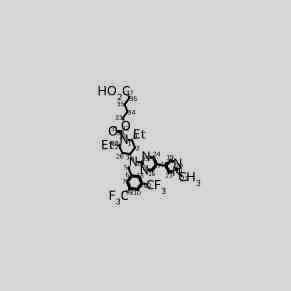 CC[C@@H]1C[C@H](N(Cc2cc(C(F)(F)F)cc(C(F)(F)F)c2)c2ncc(-c3cnn(C)c3)cn2)C[C@H](CC)N1C(=O)OCCCCC(=O)O